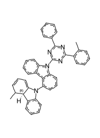 Cc1ccccc1-c1nc(-c2ccccc2)nc(-n2c3ccccc3c3c(N4C5=CC=CC(C)[C@@H]5c5ccccc54)cccc32)n1